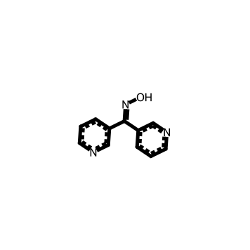 ON=C(c1cccnc1)c1cccnc1